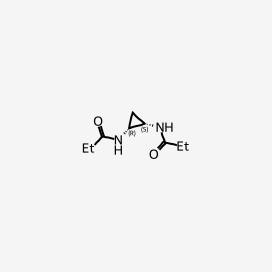 CCC(=O)N[C@H]1C[C@H]1NC(=O)CC